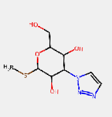 BSC1OC(CO)C(O)C(n2ccnn2)C1O